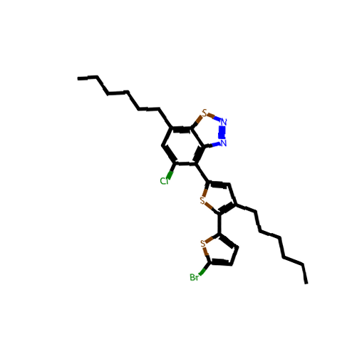 CCCCCCc1cc(-c2c(Cl)cc(CCCCCC)c3snnc23)sc1-c1ccc(Br)s1